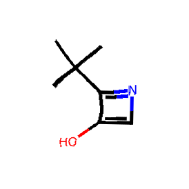 CC(C)(C)C1=NC=C1O